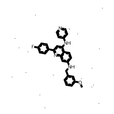 COc1cccc(CNc2ccc3c(Nc4ccncc4)cc(-c4ccc(F)cc4)nc3c2)c1